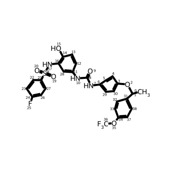 CC(Oc1ccc(NC(=O)Nc2ccc(O)c(NS(=O)(=O)c3ccc(F)cc3)c2)cc1)c1ccc(OC(F)(F)F)cc1